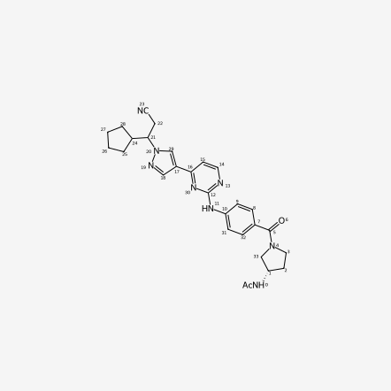 CC(=O)N[C@H]1CCN(C(=O)c2ccc(Nc3nccc(-c4cnn(C(CC#N)C5CCCC5)c4)n3)cc2)C1